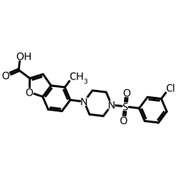 Cc1c(N2CCN(S(=O)(=O)c3cccc(Cl)c3)CC2)ccc2oc(C(=O)O)cc12